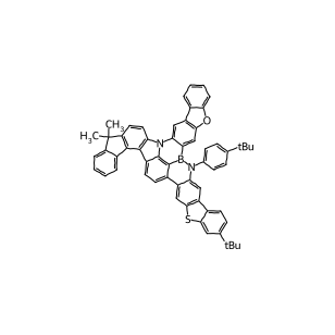 CC(C)(C)c1ccc(N2B3c4cc5oc6ccccc6c5cc4-n4c5ccc6c(c5c5ccc(c3c54)-c3cc4sc5cc(C(C)(C)C)ccc5c4cc32)-c2ccccc2C6(C)C)cc1